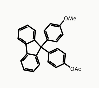 COc1ccc(C2(c3ccc(OC(C)=O)cc3)c3ccccc3-c3ccccc32)cc1